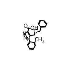 Cc1ccccc1-n1nnc(C(=O)O)c1COCc1ccccc1